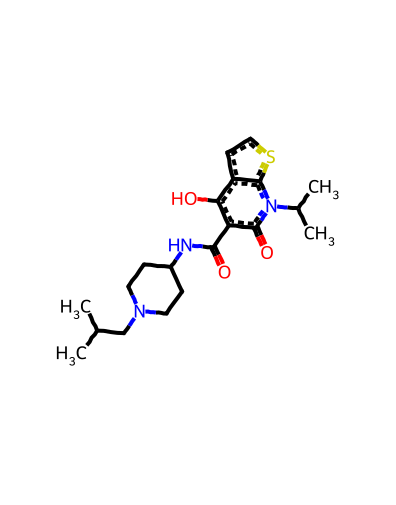 CC(C)CN1CCC(NC(=O)c2c(O)c3ccsc3n(C(C)C)c2=O)CC1